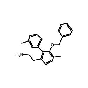 Cc1ccc(CCN)c(-c2cccc(F)c2)c1OCc1ccccc1